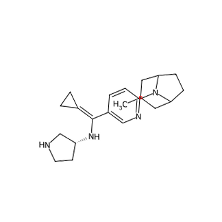 CC1CC2CCC(C1)N2c1ccc(C(N[C@@H]2CCNC2)=C2CC2)cn1